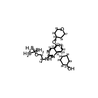 BC(B)(B)OC[C@H](C)Nc1ncc2c(OC3CCOCC3)ncc([C@H]3CC[C@H](O)CC3)c2n1